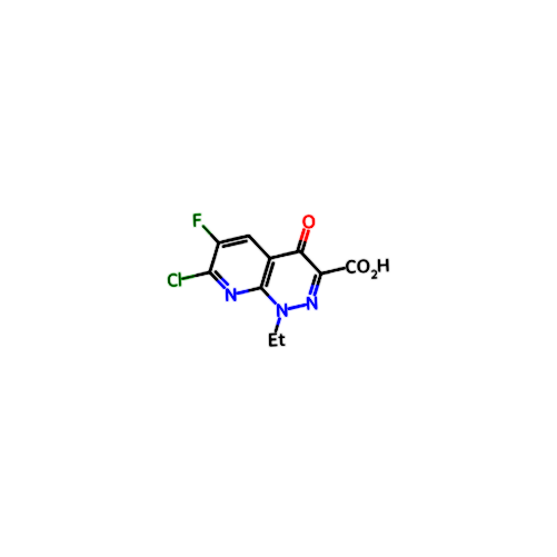 CCn1nc(C(=O)O)c(=O)c2cc(F)c(Cl)nc21